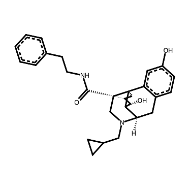 O=C(NCCc1ccccc1)[C@@H]1C[C@]23CCN(CC4CC4)[C@H](Cc4ccc(O)cc42)[C@]3(O)C1